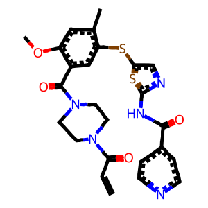 C=CC(=O)N1CCN(C(=O)c2cc(Sc3cnc(NC(=O)c4ccncc4)s3)c(C)cc2OC)CC1